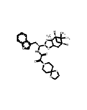 CC1(C)[C@@H]2CC3OB([C@H](Cc4coc5ccccc45)NC(=O)C(=O)N4CCC5(CC4)OCCO5)O[C@@]3(C)[C@H]1C2